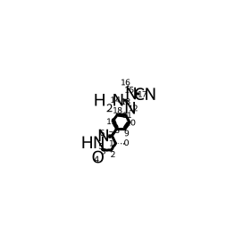 C[C@@H]1CC(=O)NN=C1c1ccc(/N=C(\N)N(C)C#N)cc1